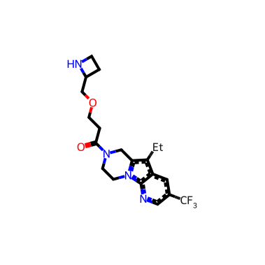 CCc1c2n(c3ncc(C(F)(F)F)cc13)CCN(C(=O)CCOCC1CCN1)C2